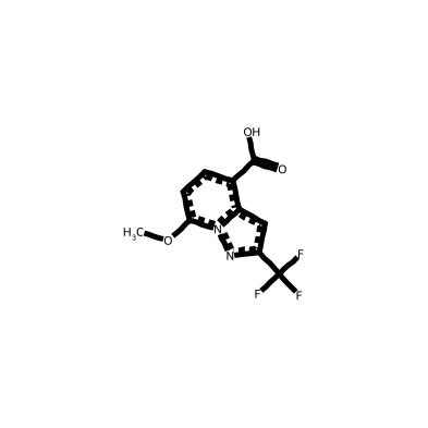 COc1ccc(C(=O)O)c2cc(C(F)(F)F)nn12